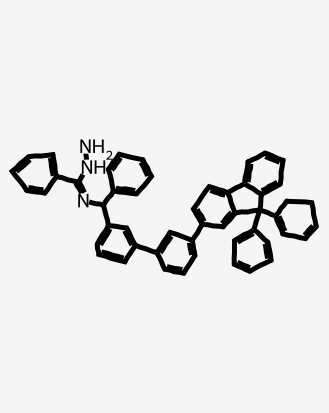 NN/C(=N\C(c1ccccc1)c1cccc(-c2cccc(-c3ccc4c(c3)C(C3=CC=CCC3)(c3ccccc3)c3ccccc3-4)c2)c1)c1ccccc1